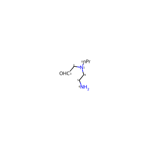 CCCN(CC=O)CCN